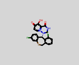 O=C1NCN([C@H]2c3ccc(F)cc3SCc3cccc(F)c32)n2ccc(=O)c(O)c21